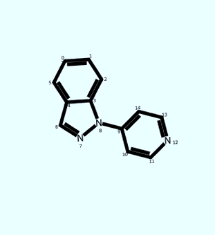 [c]1ccc2c(c1)cnn2-c1ccncc1